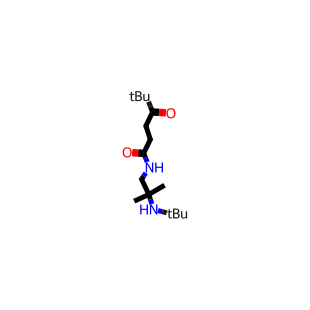 CC(C)(C)NC(C)(C)CNC(=O)CCC(=O)C(C)(C)C